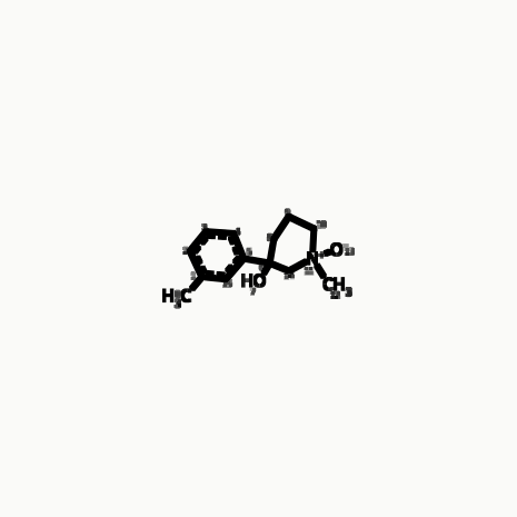 Cc1cccc(C2(O)CCC[N+](C)([O-])C2)c1